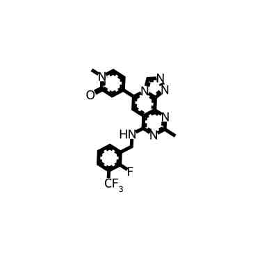 Cc1nc(NCc2cccc(C(F)(F)F)c2F)c2cc(-c3ccn(C)c(=O)c3)n3cnnc3c2n1